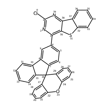 Clc1nc(-c2ccc3c(c2)-c2ccccc2C32c3ccccc3Oc3ccccc32)c2sc3ccccc3c2n1